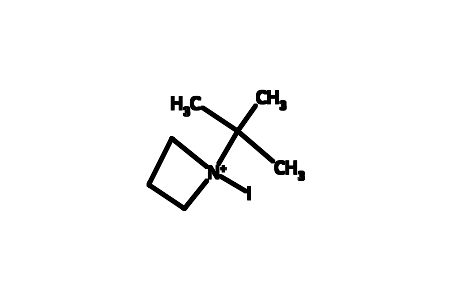 CC(C)(C)[N+]1(I)CCC1